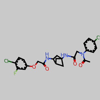 CC(=O)N(CC(=O)NC12CC(C1)C(NC(=O)COc1ccc(Cl)c(F)c1)C2)c1ccc(Cl)cc1